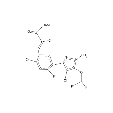 COC(=O)C(Cl)=Cc1cc(-c2nn(C)c(OC(F)F)c2Cl)c(F)cc1Cl